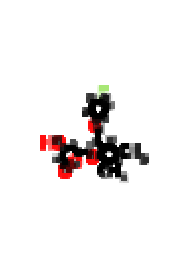 Cc1cc(C)c(OCC2CC(O)CC(=O)O2)c(CCOc2ccc(F)cc2)c1